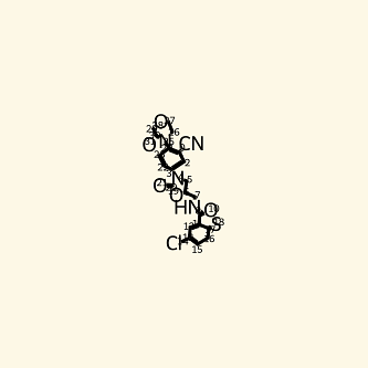 N#Cc1cc(N2CC(CNC(=O)C3=CC(Cl)=CCC3=S)OC2=O)ccc1N1CCOCC1=O